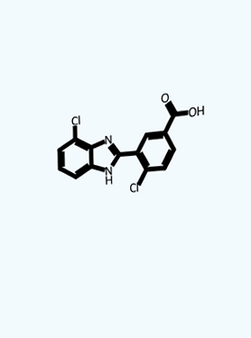 O=C(O)c1ccc(Cl)c(-c2nc3c(Cl)cccc3[nH]2)c1